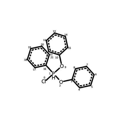 Cl[PH](Oc1ccccc1)(Oc1ccccc1)c1ccccc1